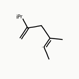 C=C(CC(C)=[C]C)C(C)C